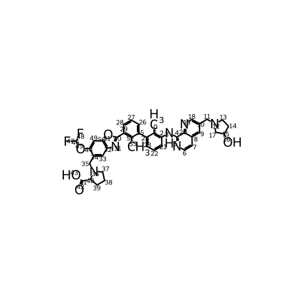 Cc1c(Nc2nccc3cc(CN4CCC(O)C4)cnc23)cccc1-c1cccc(-c2nc3cc(CN4CCC[C@H]4C(=O)O)c(OC(F)F)cc3o2)c1C